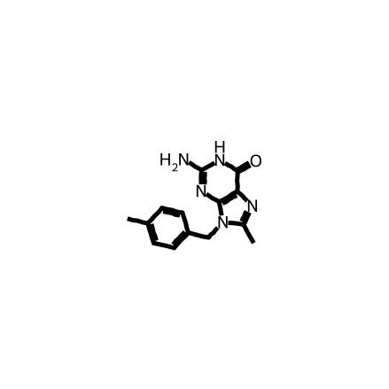 Cc1ccc(Cn2c(C)nc3c(=O)[nH]c(N)nc32)cc1